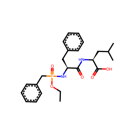 CCOP(=O)(Cc1ccccc1)N[C@@H](Cc1ccccc1)C(=O)N[C@@H](CC(C)C)C(=O)O